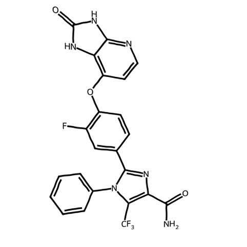 NC(=O)c1nc(-c2ccc(Oc3ccnc4[nH]c(=O)[nH]c34)c(F)c2)n(-c2ccccc2)c1C(F)(F)F